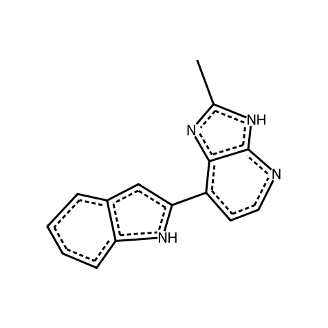 Cc1nc2c(-c3cc4ccccc4[nH]3)ccnc2[nH]1